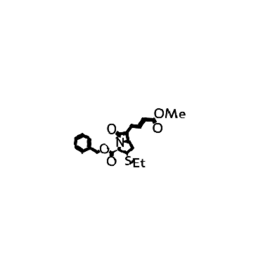 CCS[C@H]1CC2C(C/C=C/C(=O)OC)C(=O)N2[C@@H]1C(=O)OCc1ccccc1